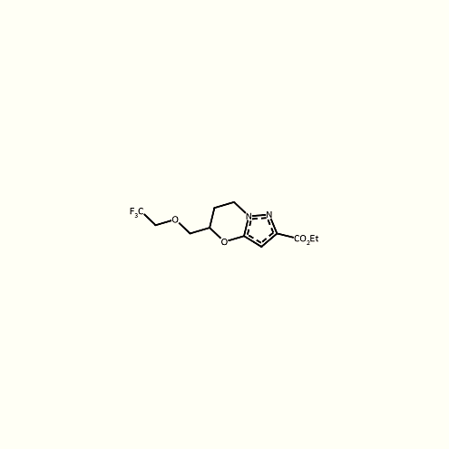 CCOC(=O)c1cc2n(n1)CCC(COCC(F)(F)F)O2